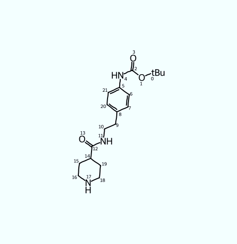 CC(C)(C)OC(=O)Nc1ccc(CCNC(=O)C2CCNCC2)cc1